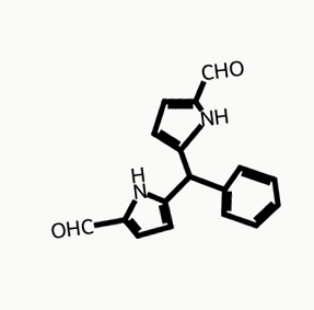 O=Cc1ccc(C(c2ccccc2)c2ccc(C=O)[nH]2)[nH]1